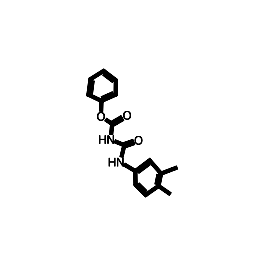 Cc1ccc(NC(=O)NC(=O)Oc2ccccc2)cc1C